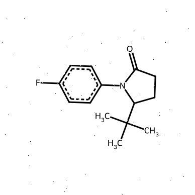 CC(C)(C)C1CCC(=O)N1c1ccc(F)cc1